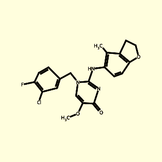 COc1cn(Cc2ccc(F)c(Cl)c2)c(Nc2ccc3c(c2C)CCO3)nc1=O